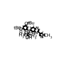 Cn1cc(-c2cnc3ccc(N(c4cc(OC(C)(C)C)cc(OC(C)(C)C)c4)C(C)(C)C(C)(C)O)cc3n2)cn1